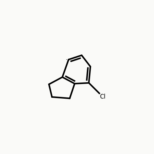 Clc1cc[c]c2c1CCC2